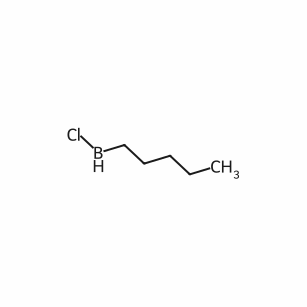 CCCCCBCl